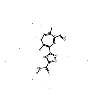 CNC(=O)c1nnc(C2=C(C)CC=C(C)C(C=O)=C2)[nH]1